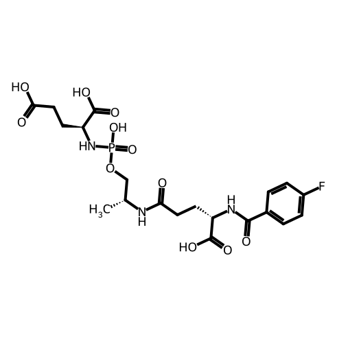 C[C@H](COP(=O)(O)N[C@@H](CCC(=O)O)C(=O)O)NC(=O)CC[C@H](NC(=O)c1ccc(F)cc1)C(=O)O